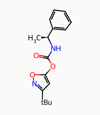 C[C@H](NC(=O)Oc1cc(C(C)(C)C)no1)c1ccccc1